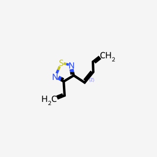 C=C/C=C\c1nsnc1C=C